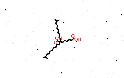 CC(C)CCCCCCCCC(CCCCCCCCC(C)C)(CCCCCC(=O)O)C(=O)O